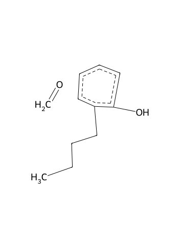 C=O.CCCCc1ccccc1O